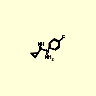 N=C(C1CC1)N(N)c1ccc(F)cc1